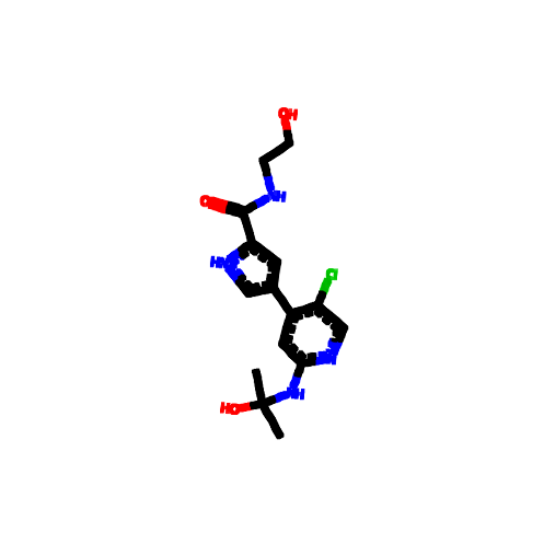 CC(C)(O)Nc1cc(-c2c[nH]c(C(=O)NCCO)c2)c(Cl)cn1